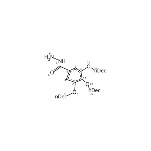 CCCCCCCCCCOc1cc(C(=O)NN)cc(OCCCCCCCCCC)c1OCCCCCCCCCC